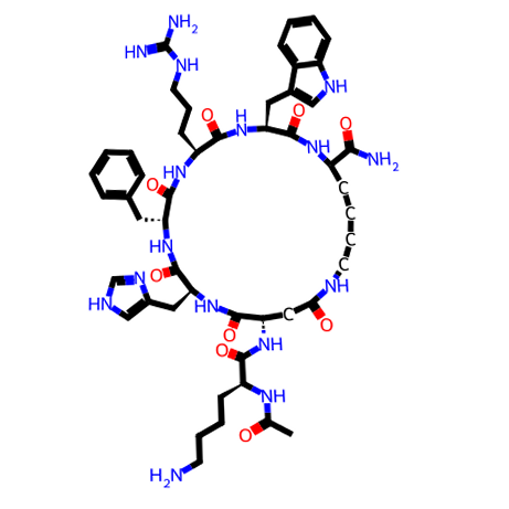 CC(=O)N[C@@H](CCCCN)C(=O)N[C@H]1CC(=O)NCCCCC(C(N)=O)NC(=O)[C@H](Cc2c[nH]c3ccccc23)NC(=O)[C@H](CCCNC(=N)N)NC(=O)[C@@H](Cc2ccccc2)NC(=O)[C@H](Cc2c[nH]cn2)NC1=O